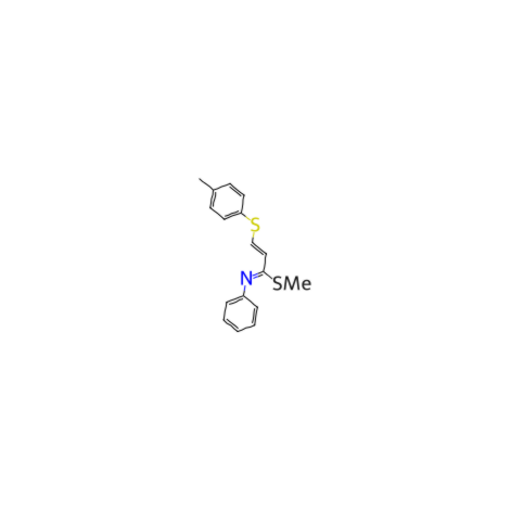 CSC(C=CSc1ccc(C)cc1)=Nc1ccccc1